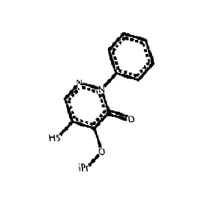 CC(C)Oc1c(S)cnn(-c2ccccc2)c1=O